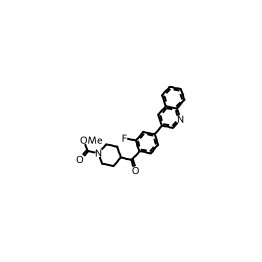 COC(=O)N1CCC(C(=O)c2ccc(-c3cnc4ccccc4c3)cc2F)CC1